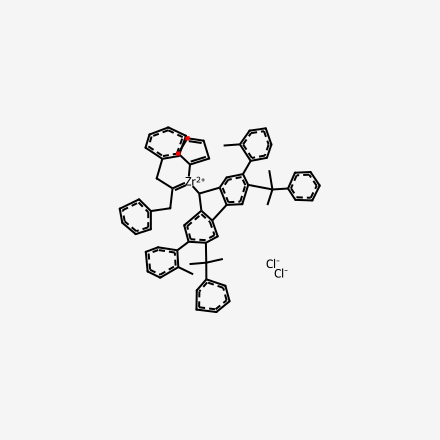 Cc1ccccc1-c1cc2c(cc1C(C)(C)c1ccccc1)-c1cc(C(C)(C)c3ccccc3)c(-c3ccccc3C)cc1[CH]2[Zr+2]([C]1=CC=CC1)=[C](Cc1ccccc1)Cc1ccccc1.[Cl-].[Cl-]